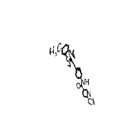 Cc1ccc2nc(-c3ccc(NC(=O)c4ccc(Cl)nc4)cc3)sc2c1